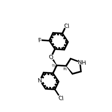 Fc1cc(Cl)ccc1O[C@H](c1cncc(Cl)c1)[C@@H]1CCNC1